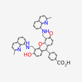 Cc1ccc2cccc(NCc3c4oc5c(CNc6cccc7ccc(C)nc67)c(O)ccc5c(-c5ccc(C(=O)O)cc5)c-4ccc3=O)c2n1